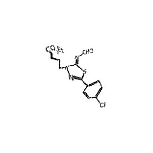 CCOC(=O)CCCn1nc(-c2ccc(Cl)cc2)sc1=NC=O